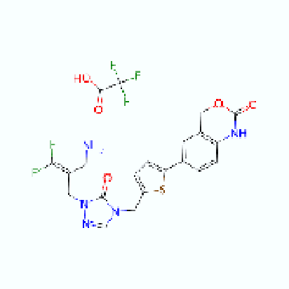 NCC(Cn1ncn(Cc2ccc(-c3ccc4c(c3)COC(=O)N4)s2)c1=O)=C(F)F.O=C(O)C(F)(F)F